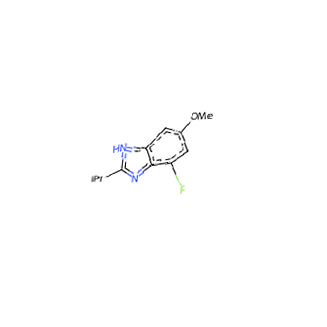 COc1cc(F)c2nc(C(C)C)[nH]c2c1